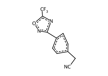 N#CCc1ccc(-c2noc(C(F)(F)F)n2)cc1